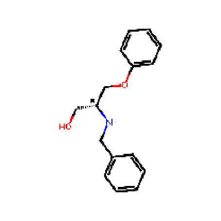 OC[C@H](COc1ccccc1)NCc1ccccc1